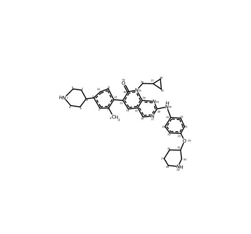 Cc1cc(C2CCNCC2)ccc1-c1cc2cnc(Nc3ccc(OC4CCCNC4)cc3)nc2n(CC2CC2)c1=O